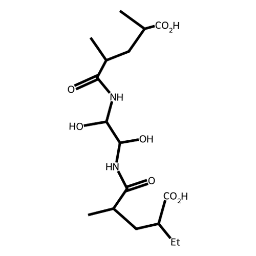 CCC(CC(C)C(=O)NC(O)C(O)NC(=O)C(C)CC(C)C(=O)O)C(=O)O